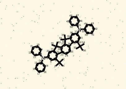 CC(C)(C)c1cc(N(c2ccccc2)c2ccccc2)cc2c1-c1ccc3c(c1C2(C)C)C(C)(C)c1cc(N(c2ccccc2)c2ccccc2)cc(C(C)(C)C)c1-3